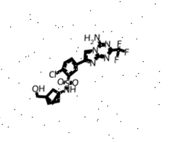 Nc1nc(C(F)(F)F)nc2nc(-c3ccc(Cl)c(S(=O)(=O)NC45CCC(CO)(C4)C5)c3)cn12